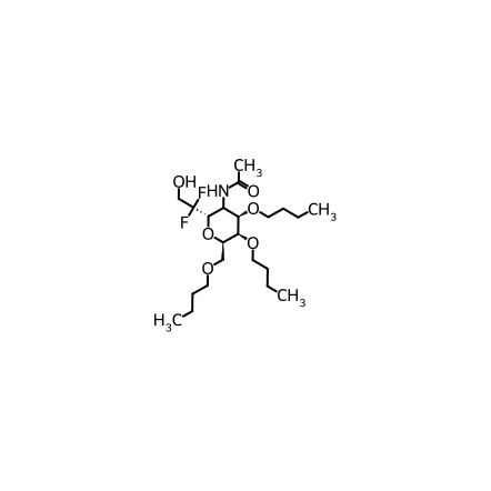 CCCCOC[C@H]1O[C@H](C(F)(F)CO)C(NC(C)=O)[C@@H](OCCCC)[C@H]1OCCCC